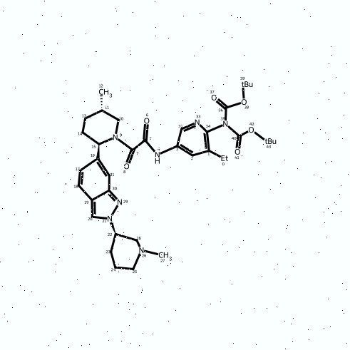 CCc1cc(NC(=O)C(=O)N2C[C@@H](C)CC[C@@H]2c2ccc3cn([C@@H]4CCCN(C)C4)nc3c2)cnc1N(C(=O)OC(C)(C)C)C(=O)OC(C)(C)C